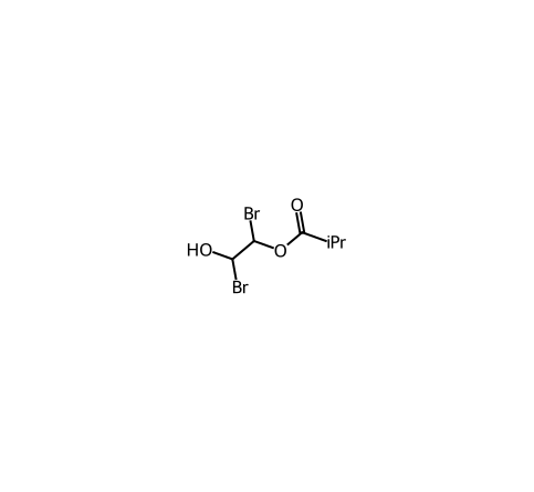 CC(C)C(=O)OC(Br)C(O)Br